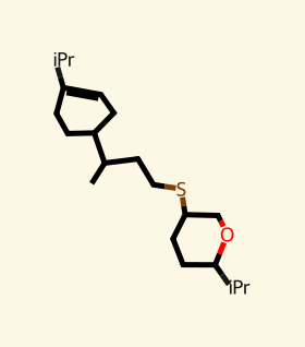 CC(C)C1=CCC(C(C)CCSC2CCC(C(C)C)OC2)CC1